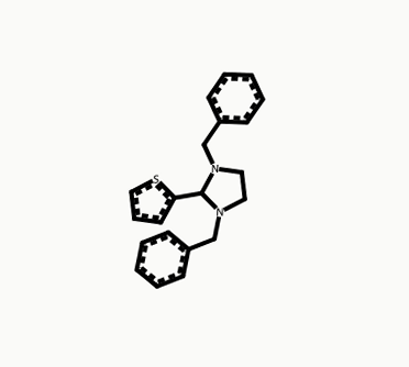 c1ccc(CN2CCN(Cc3ccccc3)C2c2cccs2)cc1